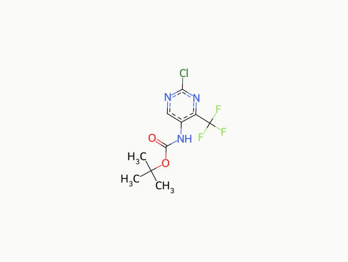 CC(C)(C)OC(=O)Nc1cnc(Cl)nc1C(F)(F)F